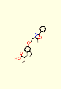 CC[C@H](C(=O)O)[C@H]1CCc2cc(OCCc3nc(-c4ccccc4)oc3C)ccc21